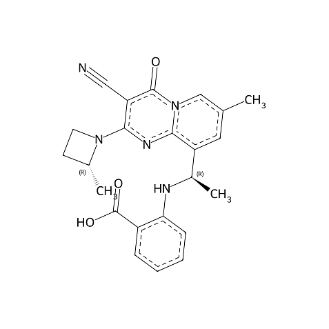 Cc1cc([C@@H](C)Nc2ccccc2C(=O)O)c2nc(N3CC[C@H]3C)c(C#N)c(=O)n2c1